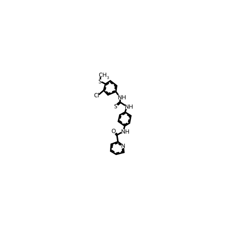 CSc1ccc(NC(=S)Nc2ccc(NC(=O)c3ccccn3)cc2)cc1Cl